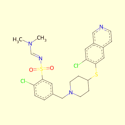 CN(C)/C=N/S(=O)(=O)c1cc(CN2CCC(Sc3cc4ccncc4cc3Cl)CC2)ccc1Cl